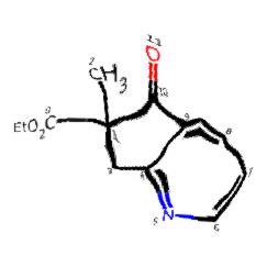 CCOC(=O)C1(C)Cc2ncccc2C1=O